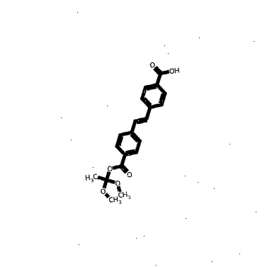 COC(C)(OC)OC(=O)c1ccc(C=Cc2ccc(C(=O)O)cc2)cc1